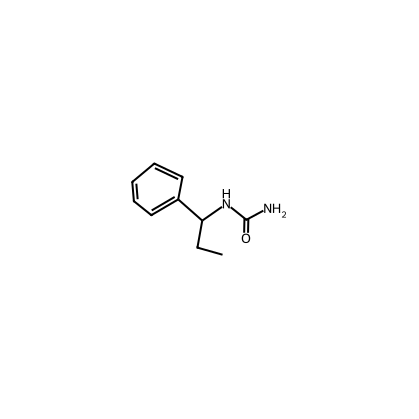 CCC(NC(N)=O)c1ccccc1